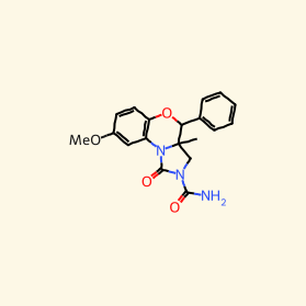 COc1ccc2c(c1)N1C(=O)N(C(N)=O)CC1(C)C(c1ccccc1)O2